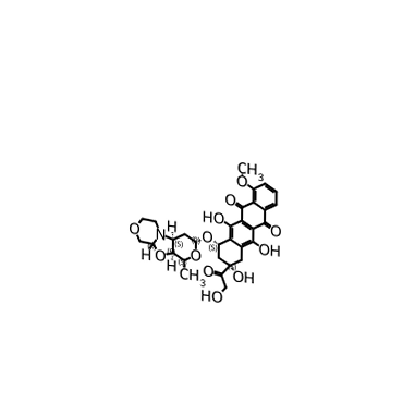 COc1cccc2c1C(=O)c1c(O)c3c(c(O)c1C2=O)C[C@@](O)(C(=O)CO)C[C@@H]3O[C@H]1C[C@H]2[C@H](O[C@@H]3COCCN32)[C@H](C)O1